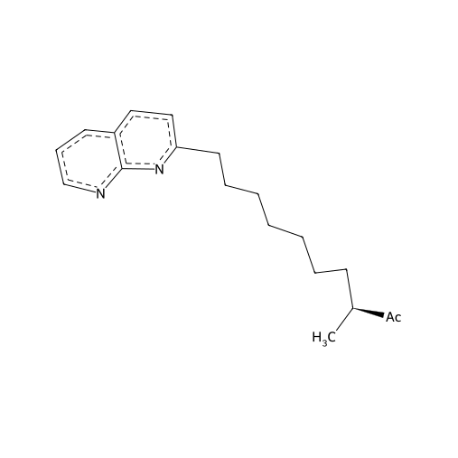 CC(=O)[C@@H](C)CCCCCCCc1ccc2cccnc2n1